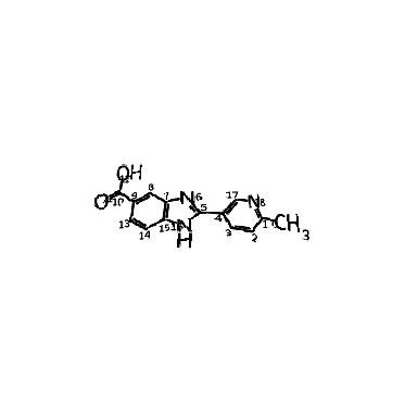 Cc1ccc(-c2nc3cc(C(=O)O)ccc3[nH]2)cn1